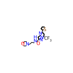 O=C(NCCCN1CCOCC1)c1cc2nc(-c3cccs3)cc(C(F)(F)F)n2n1